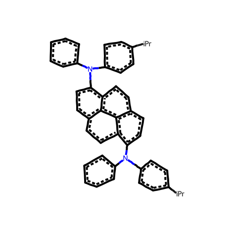 CC(C)c1ccc(N(c2ccccc2)c2ccc3ccc4c(N(c5ccccc5)c5ccc(C(C)C)cc5)ccc5ccc2c3c54)cc1